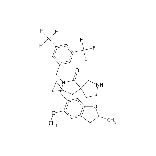 COc1cc2c(cc1CN(Cc1cc(C(F)(F)F)cc(C(F)(F)F)c1)C(=O)C1(CC3CC3)CCNC1)OC(C)C2